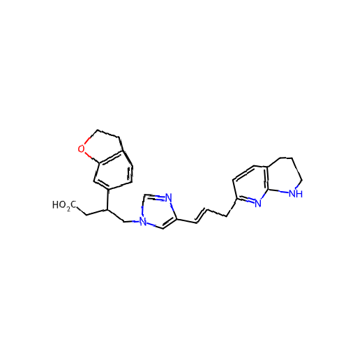 O=C(O)CC(Cn1cnc(C=CCc2ccc3c(n2)NCCC3)c1)c1ccc2c(c1)OCC2